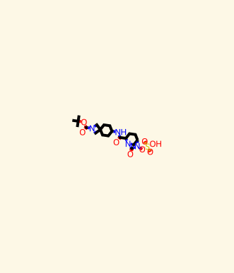 CC(C)(C)OC(=O)N1CC2(CCC(NC(=O)C3CCC4CN3C(=O)N4OS(=O)(=O)O)CC2)C1